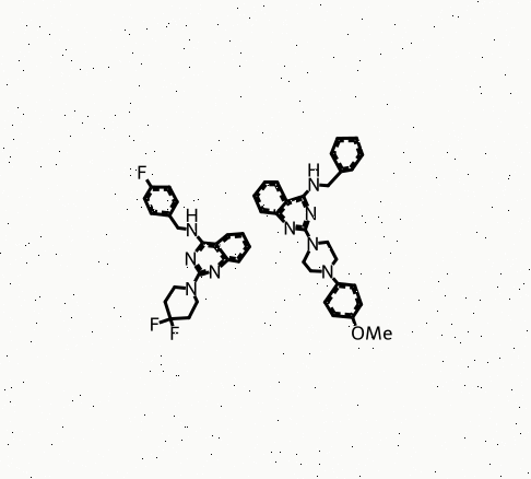 COc1ccc(N2CCN(c3nc(NCc4ccccc4)c4ccccc4n3)CC2)cc1.Fc1ccc(CNc2nc(N3CCC(F)(F)CC3)nc3ccccc23)cc1